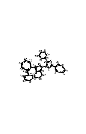 c1ccc(-c2cc(-c3sc(-c4ccccc4-c4ccccc4)c4ccccc34)c(-c3ccccc3)s2)cc1